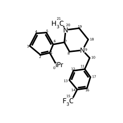 CC(C)c1ccccc1C1CN(Cc2ccc(C(F)(F)F)cc2)CCN1C